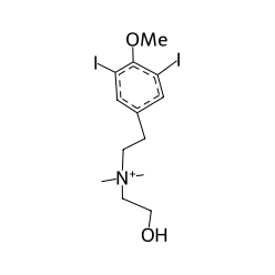 COc1c(I)cc(CC[N+](C)(C)CCO)cc1I